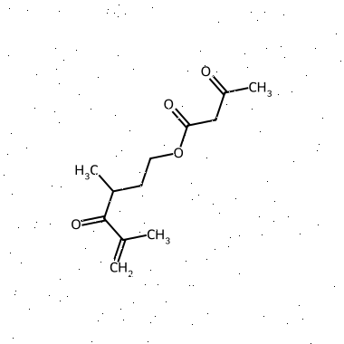 C=C(C)C(=O)C(C)CCOC(=O)CC(C)=O